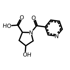 O=C(O)C1CC(O)CN1C(=O)c1cccnc1